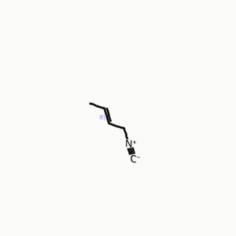 [C-]#[N+]C/C=C/C